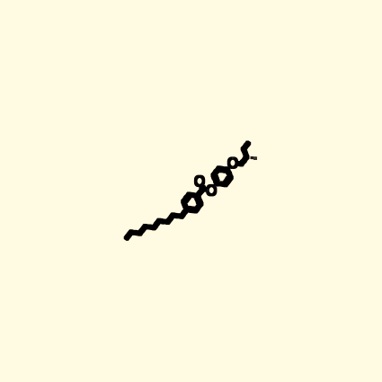 CCCCCCCCCc1ccc(C(=O)Oc2ccc(OC[C@@H](C)CC)cc2)cc1